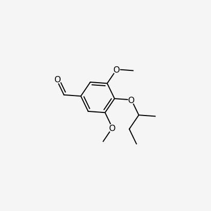 CCC(C)Oc1c(OC)cc(C=O)cc1OC